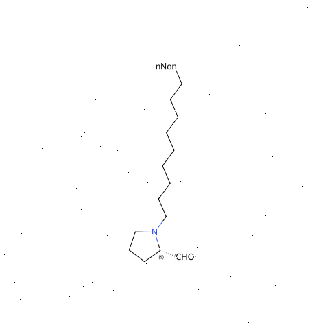 CCCCCCCCCCCCCCCCCCN1CCC[C@H]1[C]=O